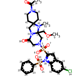 COCC12CN(S(=O)(=O)c3cc4cc(Cl)ccc4n3S(=O)(=O)c3ccccc3)CC(=O)N1CC1(CCN(C(C)=O)CC1)N2C